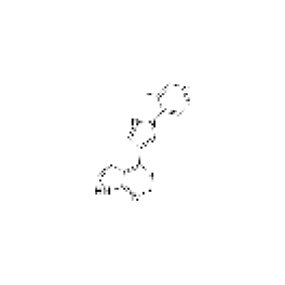 Cc1c[c]ccc1-n1cc(-c2ccnc3[nH]ccc23)cn1